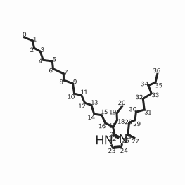 CCCCCCCCCCCCCCCCCC(CCC)c1[nH]cc[n+]1C(C)CCCCCCCCC